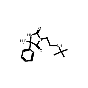 BC1(c2ccccc2)NC(=O)N(CCNC(C)(C)C)C1=O